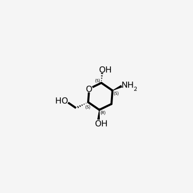 N[C@H]1C[C@@H](O)[C@H](CO)O[C@@H]1O